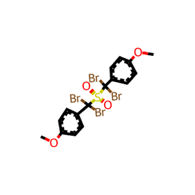 COc1ccc(C(Br)(Br)S(=O)(=O)C(Br)(Br)c2ccc(OC)cc2)cc1